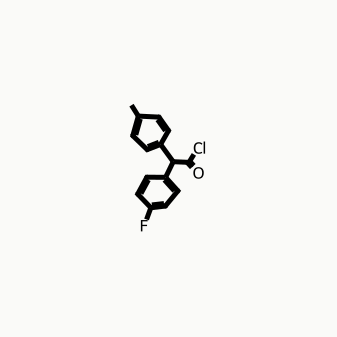 Cc1ccc(C(C(=O)Cl)c2ccc(F)cc2)cc1